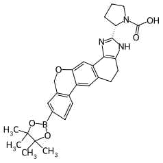 CC1(C)OB(c2ccc3c(c2)COc2cc4c(cc2-3)CCc2[nH]c([C@@H]3CCCN3C(=O)O)nc2-4)OC1(C)C